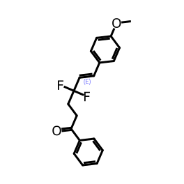 COc1ccc(/C=C/C(F)(F)CCC(=O)c2ccccc2)cc1